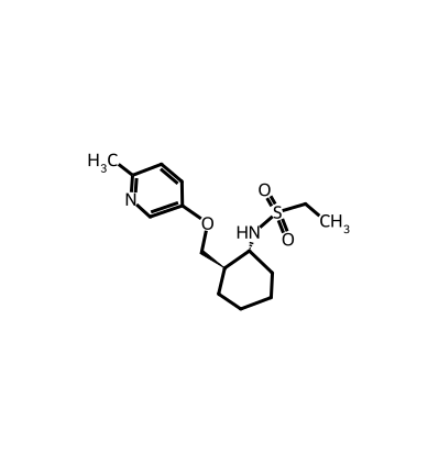 CCS(=O)(=O)N[C@@H]1CCCC[C@H]1COc1ccc(C)nc1